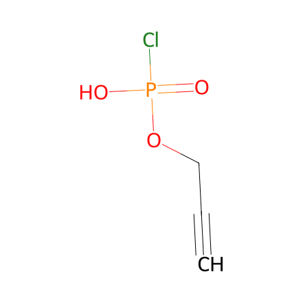 C#CCOP(=O)(O)Cl